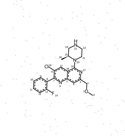 COCc1cc2nc(-c3ccccc3F)c(Cl)cc2c(N2CCNC[C@@H]2C)n1